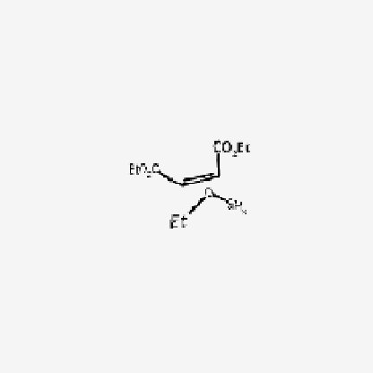 CCOC(=O)/C=C\C(=O)OCC.CCO[SiH3]